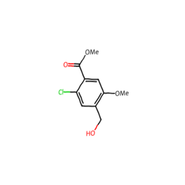 COC(=O)c1cc(OC)c(CO)cc1Cl